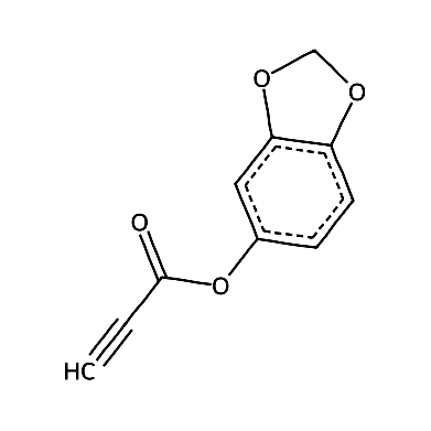 C#CC(=O)Oc1ccc2c(c1)OCO2